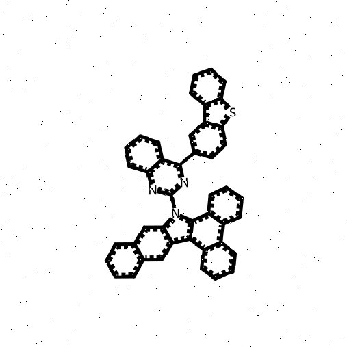 c1ccc2cc3c(cc2c1)c1c2ccccc2c2ccccc2c1n3-c1nc(-c2ccc3sc4ccccc4c3c2)c2ccccc2n1